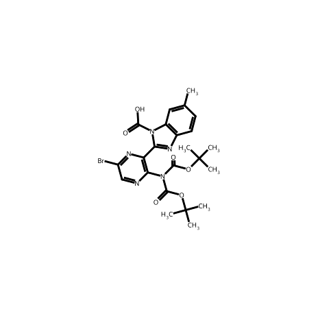 Cc1ccc2nc(-c3nc(Br)cnc3N(C(=O)OC(C)(C)C)C(=O)OC(C)(C)C)n(C(=O)O)c2c1